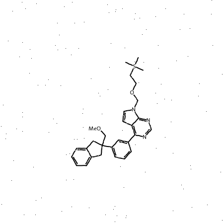 COCC1(c2cccc(-c3ncnc4c3ccn4COCCS(C)(C)C)c2)Cc2ccccc2C1